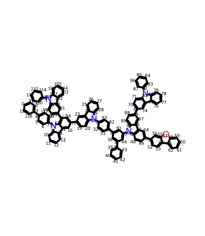 c1ccc(-c2ccc(-n3c4ccccc4c4cc(-c5ccc6c(c5)c5ccccc5n6-c5ccc(-c6cc(-c7ccccc7)cc(-n7c8ccc(-c9ccc%10c(c9)oc9ccccc9%10)cc8c8cc(-c9ccc%10c(c9)c9ccccc9n%10-c9ccccc9)ccc87)c6)cc5)cc(-c5ccc6c(c5)c5ccccc5n6-c5ccccc5)c43)cc2)cc1